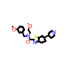 COCCN(Cc1cccc(OC)c1)C(=O)c1nc2ccc(-c3ccncc3)cc2s1